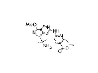 COc1ncc(C(C)(C)N)c2cc(Nc3ccc4c(n3)C[C@@H](C)OC4=O)ncc12